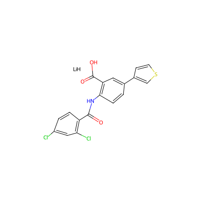 O=C(Nc1ccc(-c2ccsc2)cc1C(=O)O)c1ccc(Cl)cc1Cl.[LiH]